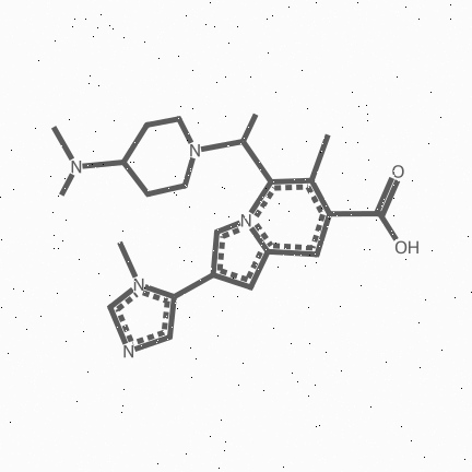 Cc1c(C(=O)O)cc2cc(-c3cncn3C)cn2c1C(C)N1CCC(N(C)C)CC1